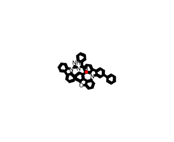 N/C(=N\C(=N/Cc1cccc2oc3cccc(-n4c5ccccc5c5ccc(-c6ccccc6)cc54)c3c12)c1ccccc1)n1c2ccccc2c2ccccc21